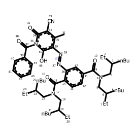 CCCCC(CC)CN(CC(CC)CCCC)C(=O)c1ccc(C(=O)N(CC(CC)CCCC)CC(CC)CCCC)c(/N=N/c2c(C)c(C#N)c(=O)n(C(=O)c3ccccc3)c2O)c1